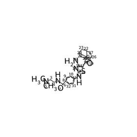 CN(C)CCNC(=O)c1ccc(Nc2nc(N)c(C(=O)C34CC5CC(CC(C5)C3)C4)s2)cc1